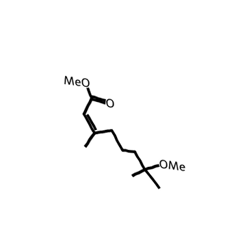 COC(=O)C=C(C)CCCC(C)(C)OC